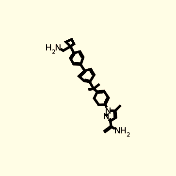 C=C(N)c1cc(C)n(C2=CC=C(C(C)(C)c3ccc(-c4ccc(C5(CN)CCC5)cc4)cc3)CC2)n1